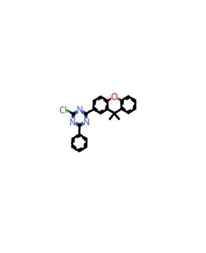 CC1(C)c2ccccc2Oc2ccc(-c3nc(Cl)nc(-c4ccccc4)n3)cc21